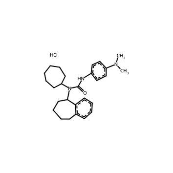 CN(C)c1ccc(NC(=O)N(C2CCCCCC2)C2CCCCc3ccccc32)cc1.Cl